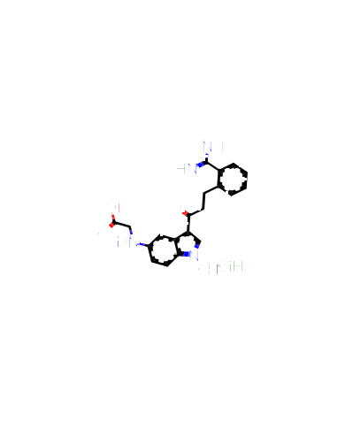 Cl.Cn1cc(C(=O)CCc2ccccc2C(=N)N)c2cc(NCC(=O)O)ccc21